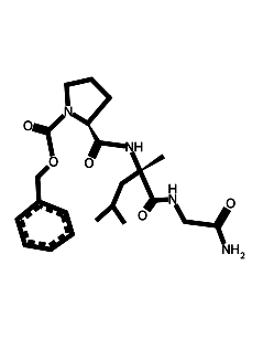 CC(C)C[C@](C)(NC(=O)[C@@H]1CCCN1C(=O)OCc1ccccc1)C(=O)NCC(N)=O